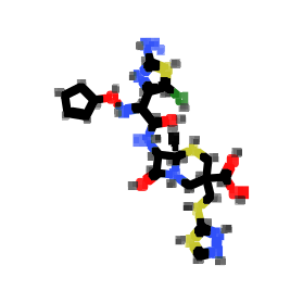 Nc1nc(C(=NOC2C=CCC2)C(=O)NC2C(=O)N3CC(CSc4nncs4)(C(=O)O)CS[C@H]23)c(Cl)s1